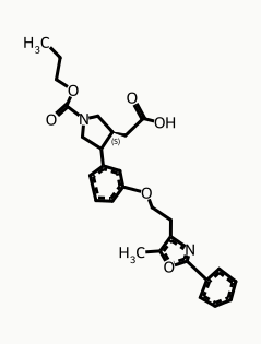 CCCOC(=O)N1CC(c2cccc(OCCc3nc(-c4ccccc4)oc3C)c2)[C@H](CC(=O)O)C1